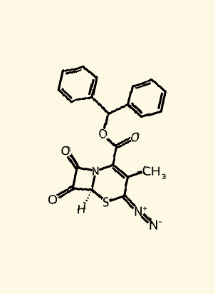 CC1=C(C(=O)OC(c2ccccc2)c2ccccc2)N2C(=O)C(=O)[C@@H]2SC1=[N+]=[N-]